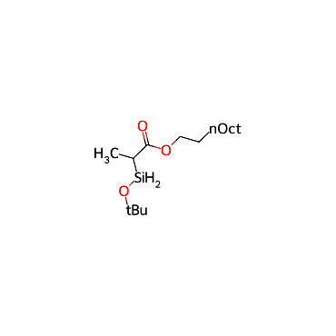 CCCCCCCCCCOC(=O)C(C)[SiH2]OC(C)(C)C